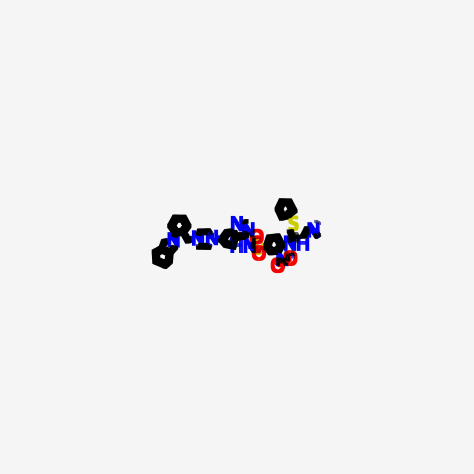 CN(C)CC[C@H](CSc1ccccc1)Nc1ccc(S(=O)(=O)Nc2ncnc3cc(N4CCN(Cc5ccccc5N5Cc6ccccc6C5)CC4)ccc23)cc1[N+](=O)[O-]